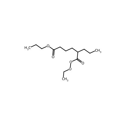 CCCOC(=O)CCCC(CCC)C(=O)OOCC